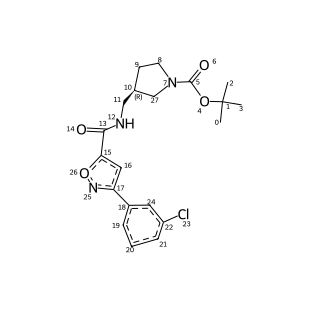 CC(C)(C)OC(=O)N1CC[C@H](CNC(=O)c2cc(-c3cccc(Cl)c3)no2)C1